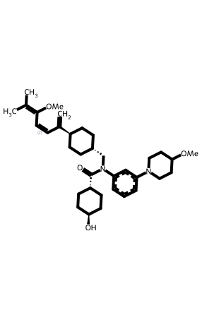 C=C(/C=C\C(OC)=C(C)C)[C@H]1CC[C@H](CN(c2cccc(N3CCC(OC)CC3)c2)C(=O)[C@H]2CC[C@H](O)CC2)CC1